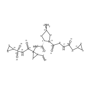 C=CC1CC1(NC(=O)[C@@H]1C[C@@H](N)CN1C(=O)CNC(=O)CC1CC1)C(=O)NS(=O)(=O)C1CC1